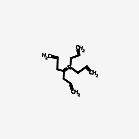 C=CCC(CC=C)=[Si](CC=C)CC=C